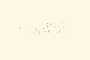 C#CCOCc1cn(C[C@H]2O[C@@](CCl)(O[C@H]3O[C@H](COC(C)=O)[C@H](Cl)[C@H](OC(C)=O)[C@H]3C)[C@@H](OC(C)=O)[C@@H]2C)nn1